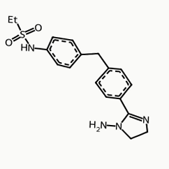 CCS(=O)(=O)Nc1ccc(Cc2ccc(C3=NCCN3N)cc2)cc1